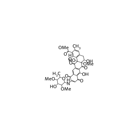 COC(=O)c1c(C)cc2c(c1O)C1(O)C(=O)c3cc4c(c(O)c3C(=O)C1(OC)C(O)C2)C(=O)C=C(NC1OC(C)C(OC)C(O)C1OC)C4=O